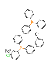 [CH2-]c1ccccc1.[Cl][Pd+].c1ccc(P(c2ccccc2)c2ccccc2)cc1.c1ccc(P(c2ccccc2)c2ccccc2)cc1